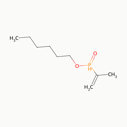 C=C(C)[PH](=O)OCCCCCC